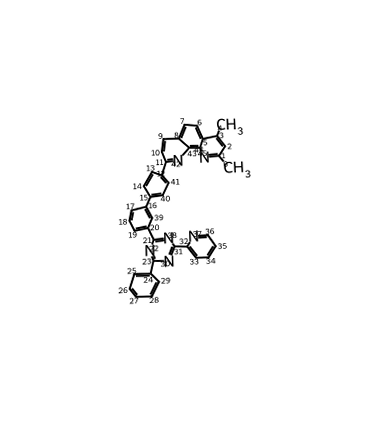 Cc1cc(C)c2ccc3ccc(-c4ccc(-c5cccc(-c6nc(-c7ccccc7)nc(-c7ccccn7)n6)c5)cc4)nc3c2n1